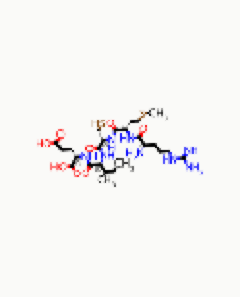 CC[C@H](C)[C@H](NC(=O)[C@H](CS)NC(=O)[C@H](CCSC)NC(=O)[C@@H](N)CCCNC(=N)N)C(=O)N[C@@H](CCC(=O)O)C(=O)O